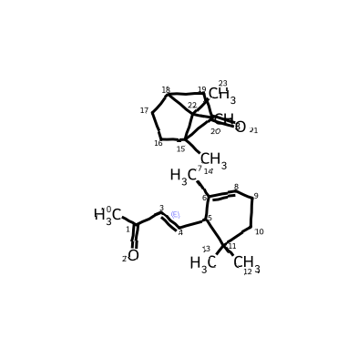 CC(=O)/C=C/C1C(C)=CCCC1(C)C.CC12CCC(CC1=O)C2(C)C